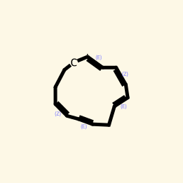 [C]1=C/C=C\C=C\C/C=C/C=C\CCC/1